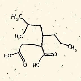 CCCC(CC(C)C)C(CC(=O)O)C(=O)O